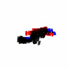 NC(=O)C1=C(O)C[C@@H]2CC3Cc4c(c(O)cc(CNCC5Cc6ccccc6C5)c4C(F)(F)F)C(=O)C3=C(O)[C@]2(O)C1=O